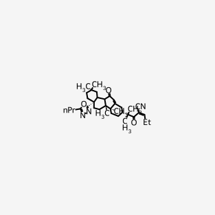 CC/C=C(/C#N)C(=O)C(C)(C)[C@@H]1CC[C@]2(C)C(=CC(=O)C3C4CC(C)(C)CC[C@]4(c4nnc(CCC)o4)CC[C@]32C)C1